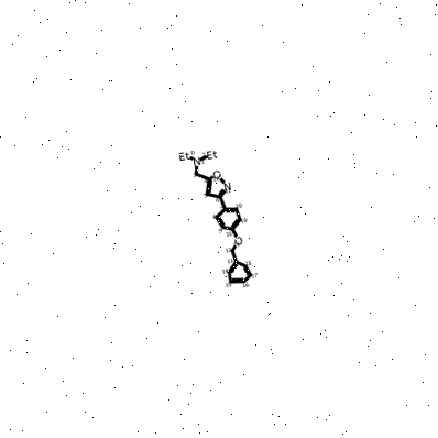 CCN(CC)Cc1cc(-c2ccc(OCc3ccccc3)cc2)no1